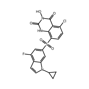 O=c1[nH]c2c(S(=O)(=O)c3cc(F)c4ccn(C5CC5)c4c3)ccc(Cl)c2c(=O)n1O